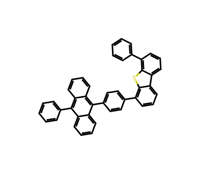 c1ccc(-c2c3ccccc3c(-c3ccc(-c4cccc5c4sc4c(-c6ccccc6)cccc45)cc3)c3ccccc23)cc1